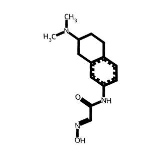 CN(C)C1CCc2ccc(NC(=O)C=NO)cc2C1